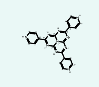 c1cc(C2=NC3=NC(c4ccncc4)=NC4=NC(c5ccncc5)=NC(=N2)N34)ccn1